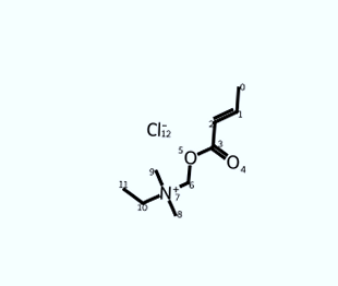 CC=CC(=O)OC[N+](C)(C)CC.[Cl-]